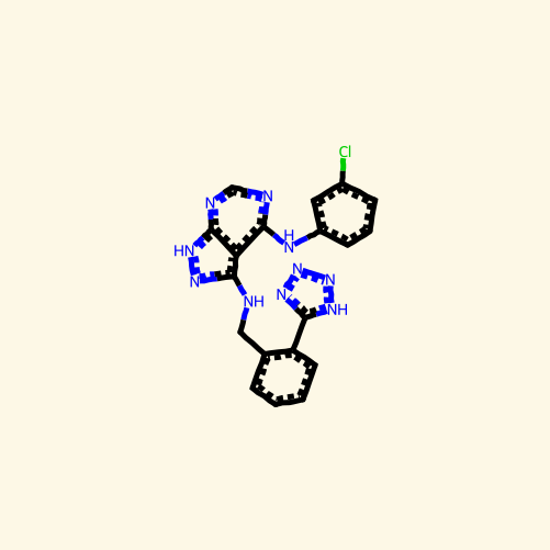 Clc1cccc(Nc2ncnc3[nH]nc(NCc4ccccc4-c4nnn[nH]4)c23)c1